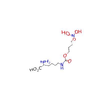 NC(CCCCNC(=O)OCCCCON(O)O)C(=O)O